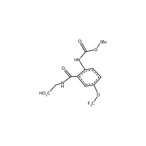 CC(C)(C)OC(=O)Nc1ccc(OC(F)(F)F)cc1C(=O)NCC(=O)O